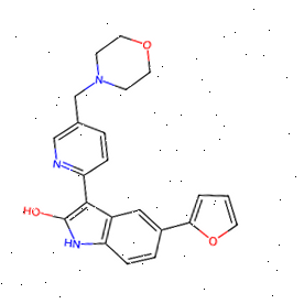 Oc1[nH]c2ccc(-c3ccco3)cc2c1-c1ccc(CN2CCOCC2)cn1